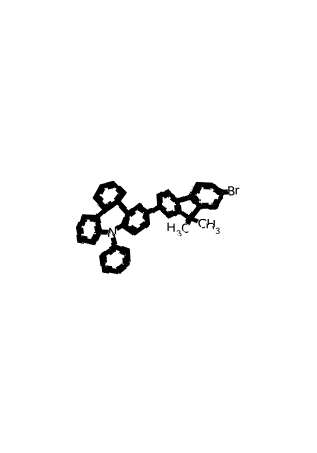 CC1(C)c2cc(Br)ccc2-c2ccc(-c3ccc4c(c3)-c3ccccc3-c3ccccc3N4c3ccccc3)cc21